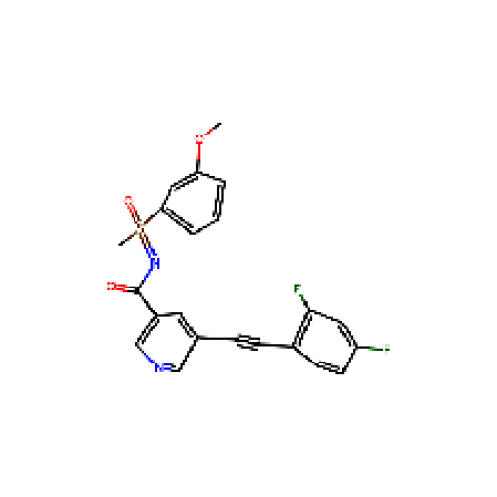 COc1cccc(S(C)(=O)=NC(=O)c2cncc(C#Cc3ccc(F)cc3F)c2)c1